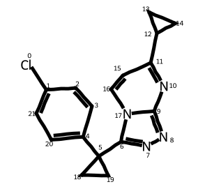 Clc1ccc(C2(c3nnc4nc(C5CC5)ccn34)CC2)cc1